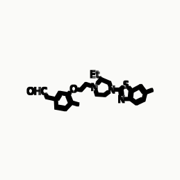 CC[C@H]1CN(c2nc3ccc(C)cc3s2)CCN1CCOc1cc(CC=O)ccc1C